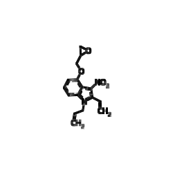 C=CCn1c(C=C)c([N+](=O)[O-])c2c(OCC3CO3)cccc21